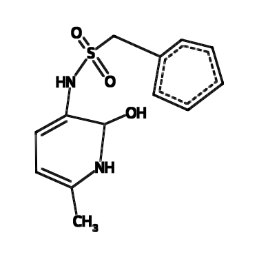 CC1=CC=C(NS(=O)(=O)Cc2ccccc2)C(O)N1